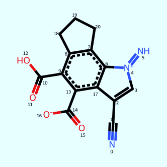 N#CC1=C[N+](=N)c2c3c(c(C(=O)O)c(C(=O)[O-])c21)CCC3